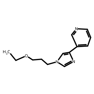 CCOCCCn1cnc(-c2cccnc2)c1